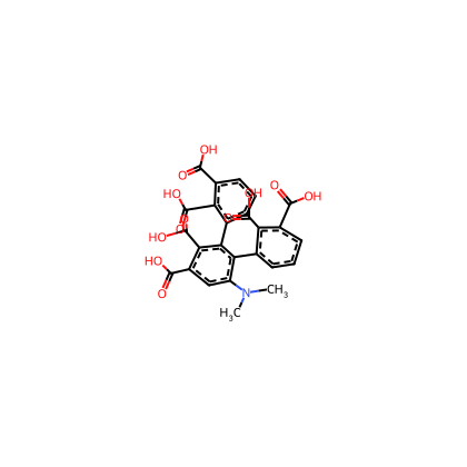 CN(C)c1cc(C(=O)O)c(C(=O)O)c(-c2cccc(C(=O)O)c2C(=O)O)c1-c1cccc(C(=O)O)c1C(=O)O